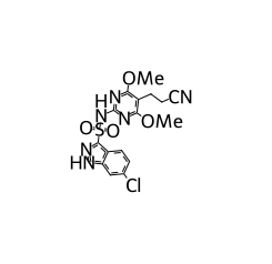 COc1nc(NS(=O)(=O)c2n[nH]c3cc(Cl)ccc23)nc(OC)c1CCC#N